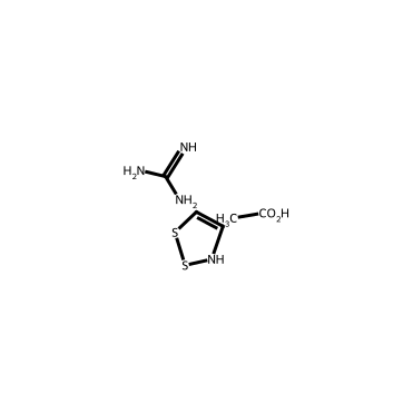 C1=CSSN1.CC(=O)O.N=C(N)N